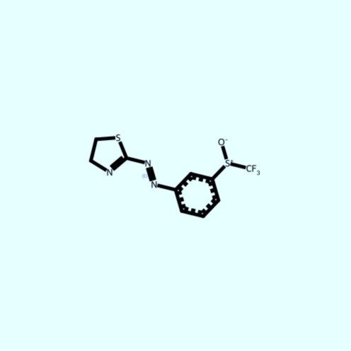 [O-][S+](c1cccc(/N=N/C2=NCCS2)c1)C(F)(F)F